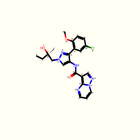 CC[C@@](C)(O)Cn1cc(NC(=O)c2cnn3cccnc23)c(-c2cc(Cl)ccc2OC)n1